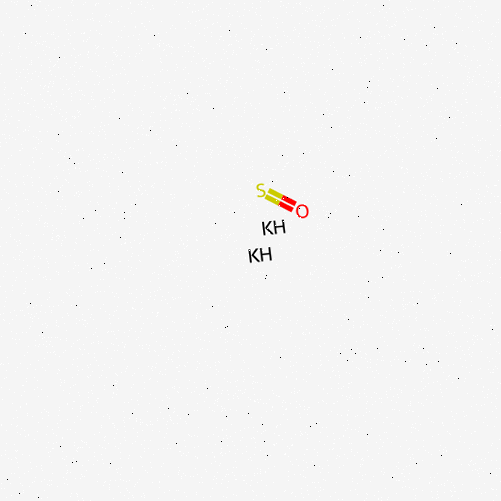 O=S.[KH].[KH]